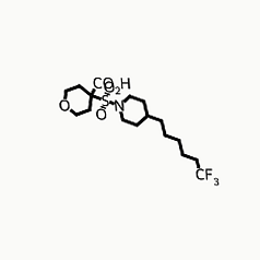 O=C(O)C1(S(=O)(=O)N2CCC(CCCCCC(F)(F)F)CC2)CCOCC1